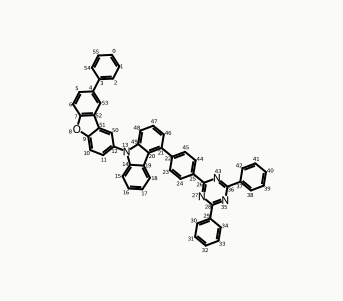 c1ccc(-c2ccc3oc4ccc(-n5c6ccccc6c6c(-c7ccc(-c8nc(-c9ccccc9)nc(-c9ccccc9)n8)cc7)cccc65)cc4c3c2)cc1